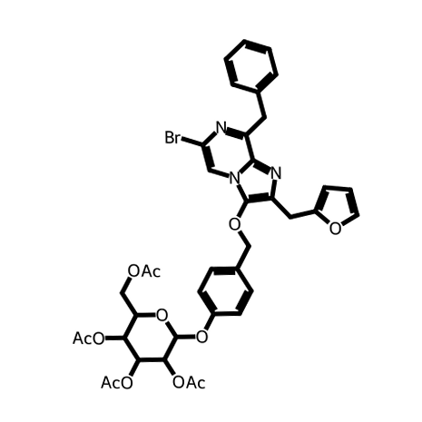 CC(=O)OCC1OC(Oc2ccc(COc3c(Cc4ccco4)nc4c(Cc5ccccc5)nc(Br)cn34)cc2)C(OC(C)=O)C(OC(C)=O)C1OC(C)=O